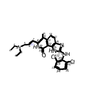 CCN(CC)C/C=C/c1[nH]c(=O)c2c(ccc3nc(Nc4c(Cl)cccc4Cl)[nH]c32)c1C